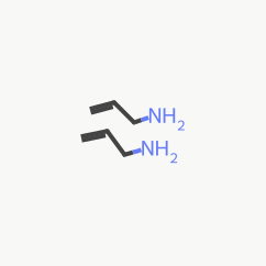 C=CCN.C=CCN